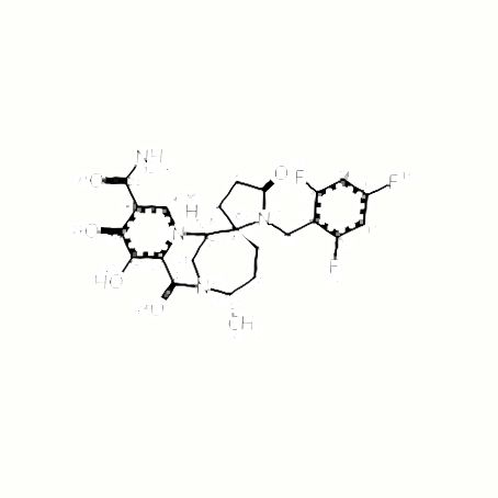 C[C@H]1CC[C@]2(CCC(=O)N2Cc2c(F)cc(F)cc2F)[C@H]2CN1C(=O)c1c(O)c(=O)c(C(N)=O)cn12